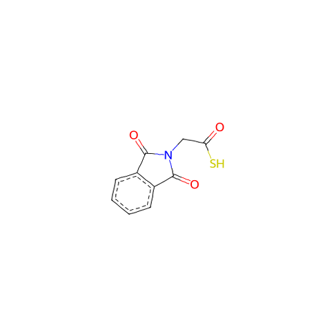 O=C(S)CN1C(=O)c2ccccc2C1=O